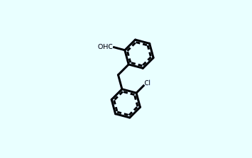 O=Cc1ccccc1Cc1ccccc1Cl